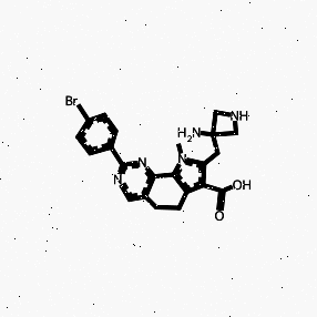 Cn1c(CC2(N)CNC2)c(C(=O)O)c2c1-c1nc(-c3ccc(Br)cc3)ncc1CC2